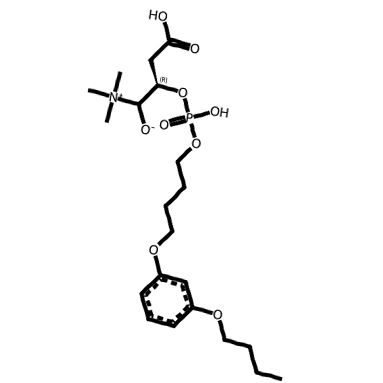 CCCCOc1cccc(OCCCCOP(=O)(O)O[C@H](CC(=O)O)C([O-])[N+](C)(C)C)c1